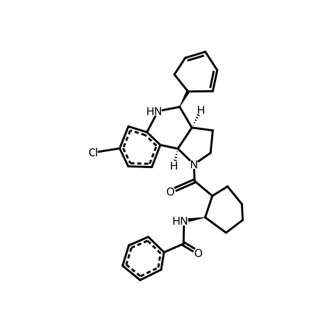 O=C(N[C@@H]1CCCCC1C(=O)N1CC[C@@H]2[C@H](C3C=CC=CC3)Nc3cc(Cl)ccc3[C@@H]21)c1ccccc1